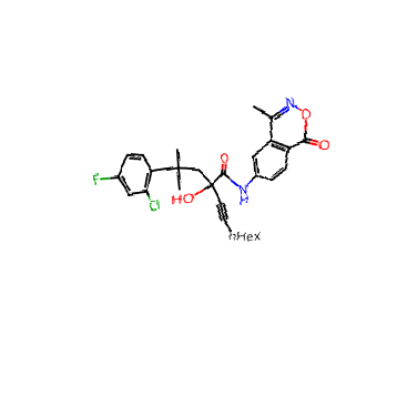 CCCCCCC#CC(O)(CC(C)(C)c1ccc(F)cc1Cl)C(=O)Nc1ccc2c(=O)onc(C)c2c1